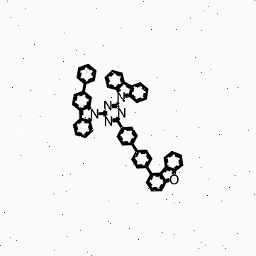 c1ccc(-c2ccc3c4ccccc4n(-c4nc(-c5ccc(-c6ccc(-c7cccc8oc9ccccc9c78)cc6)cc5)nc(-n5c6ccccc6c6ccccc65)n4)c3c2)cc1